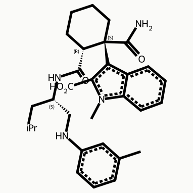 Cc1cccc(NC[C@H](CC(C)C)NC(=O)[C@@H]2CCCC[C@@]2(C(N)=O)c2c(C(=O)O)n(C)c3ccccc23)c1